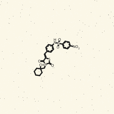 CC1(CN2C(=O)S/C(=C\c3ccc(NS(=O)(=O)c4ccc([N+](=O)[O-])cc4)cc3)C2=O)CCCCC1